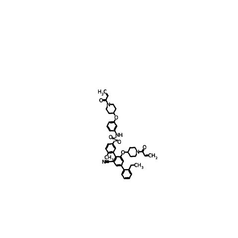 C=CC(=O)N1CCC(Oc2cccc(NS(=O)(=O)c3ccc(C)c(-c4c(C#N)cc(-c5ccccc5CC)cc4OC4CCN(C(=O)C=C)CC4)c3)c2)CC1